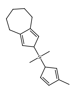 CC1=CC([Si](C)(C)C2C=C3CCCCCC3=C2)C=C1